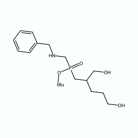 CC(C)(C)OP(=O)(CNCc1ccccc1)CC(CO)CCCO